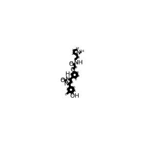 Cc1cc(-c2cc(-c3cccc(OCC(=O)NCCC4CCCN4C)c3)[nH]c(=O)n2)ccc1O